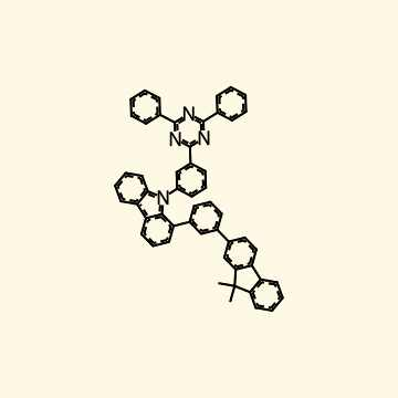 CC1(C)c2ccccc2-c2ccc(-c3cccc(-c4cccc5c6ccccc6n(-c6cccc(-c7nc(-c8ccccc8)nc(-c8ccccc8)n7)c6)c45)c3)cc21